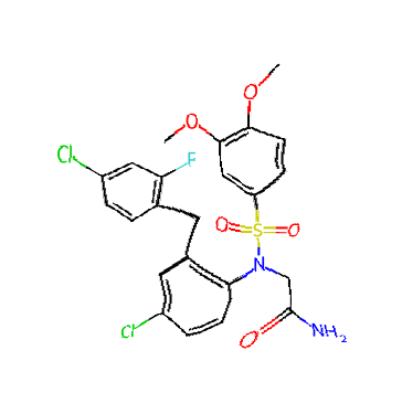 COc1ccc(S(=O)(=O)N(CC(N)=O)c2ccc(Cl)cc2Cc2ccc(Cl)cc2F)cc1OC